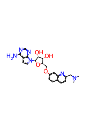 CN(C)Cc1ccc2ccc(OC[C@H]3O[C@@H](n4ccc5c(N)ncnc54)[C@H](O)[C@@H]3O)cc2n1